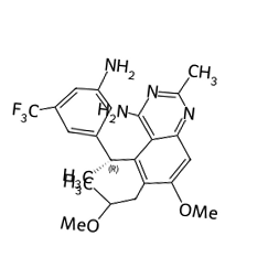 COc1cc2nc(C)nc(N)c2c([C@H](C)c2cc(N)cc(C(F)(F)F)c2)c1CC(C)OC